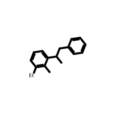 CCc1cccc(C(C)Cc2ccccc2)c1C